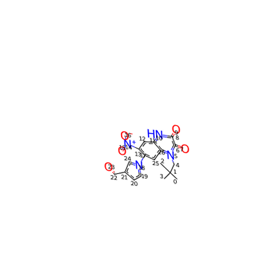 CC(C)(C)Cn1c(=O)c(=O)[nH]c2cc([N+](=O)[O-])c(-n3ccc(C=O)c3)cc21